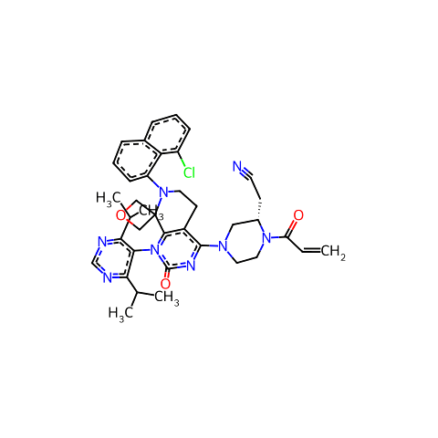 C=CC(=O)N1CCN(c2nc(=O)n(-c3c(C(C)C)ncnc3C(C)C)c3c2CCN(c2cccc4cccc(Cl)c24)C32COC2)C[C@@H]1CC#N